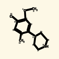 COc1cc(N2CCNCC2)c(C)cc1Cl